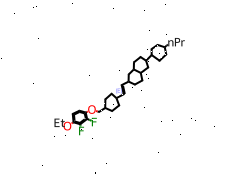 CCCC1CCC(C2CCC3CC(/C=C/C4CCC(COc5ccc(OCC)c(F)c5F)CC4)CCC3C2)CC1